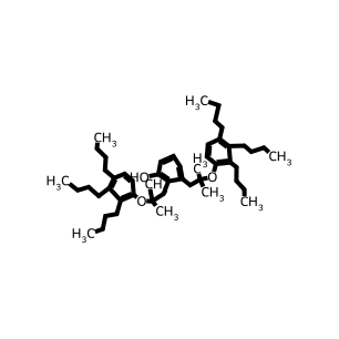 CCCCc1ccc(OC(C)(C)Cc2cccc(O)c2CC(C)(C)Oc2ccc(CCCC)c(CCCC)c2CCCC)c(CCCC)c1CCCC